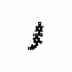 O=C(Nc1ccc(C=C2CNC2)c(F)c1)c1ccc(Cl)nc1